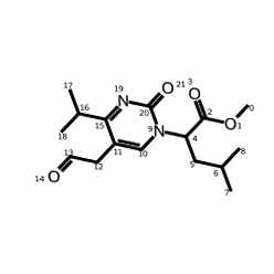 COC(=O)C(CC(C)C)n1cc(CC=O)c(C(C)C)nc1=O